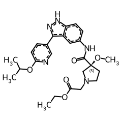 CCOC(=O)CN1CC[C@@](OC)(C(=O)Nc2ccc3[nH]nc(-c4ccc(OC(C)C)nc4)c3c2)C1